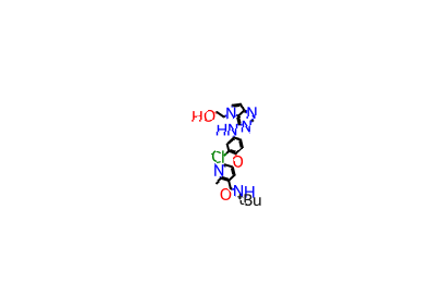 Cc1ncc(Oc2ccc(Nc3ncnc4ccn(CCO)c34)cc2Cl)cc1C(=O)NC(C)(C)C